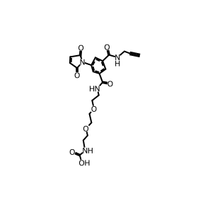 C#CCNC(=O)c1cc(C(=O)NCCOCCOCCNC(=O)O)cc(N2C(=O)C=CC2=O)c1